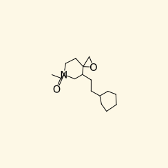 CC(=O)N1CCC2(CO2)C(CCC2CCCCC2)C1